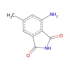 Cc1cc(N)c2c(c1)C(=O)NC2=O